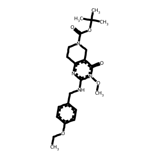 CCOc1ccc(CNc2nc3c(c(=O)n2OC)CN(C(=O)OC(C)(C)C)CC3)cc1